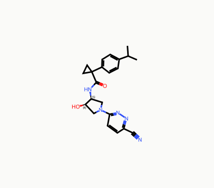 CC(C)c1ccc(C2(C(=O)N[C@H]3CN(c4ccc(C#N)nn4)C[C@H]3O)CC2)cc1